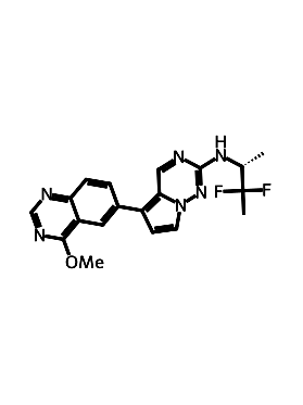 COc1ncnc2ccc(-c3ccn4nc(N[C@H](C)C(C)(F)F)ncc34)cc12